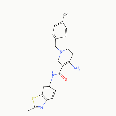 Cc1nc2ccc(NC(=O)C3=C(N)CCN(Cc4ccc(C#N)cc4)C3)cc2s1